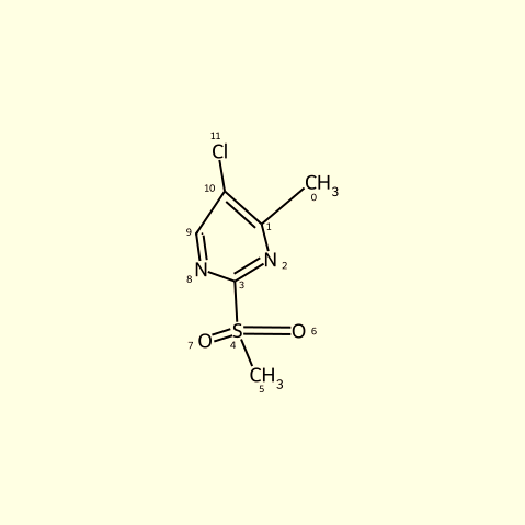 Cc1nc(S(C)(=O)=O)n[c]c1Cl